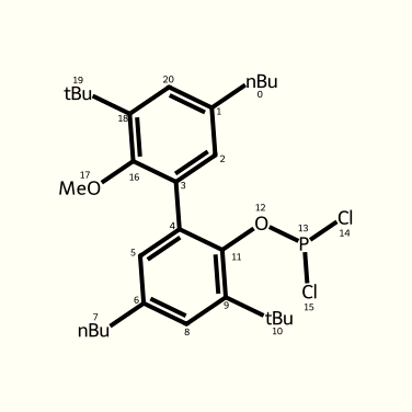 CCCCc1cc(-c2cc(CCCC)cc(C(C)(C)C)c2OP(Cl)Cl)c(OC)c(C(C)(C)C)c1